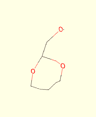 [O]CC1OCCCO1